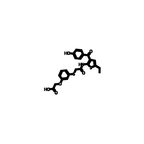 CCc1cc(C(=O)c2ccc(O)cc2)c(NC(=O)CSc2cccc(OCC(=O)O)c2)s1